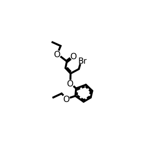 CCOC(=O)/C=C(\CBr)Oc1ccccc1OCC